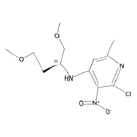 COCC[C@@H](COC)Nc1cc(C)nc(Cl)c1[N+](=O)[O-]